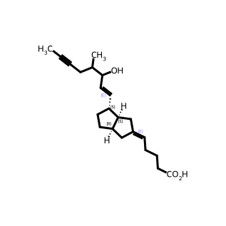 CC#CCC(C)C(O)/C=C/[C@H]1CC[C@@H]2C/C(=C\CCCC(=O)O)C[C@@H]21